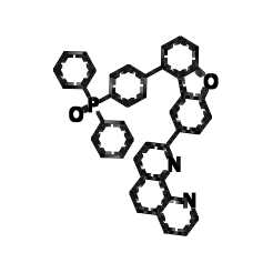 O=P(c1ccccc1)(c1ccccc1)c1ccc(-c2cccc3oc4ccc(-c5ccc6ccc7cccnc7c6n5)cc4c23)cc1